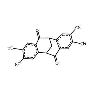 N#Cc1cc2c(cc1C#N)C1CC(C2=O)c2cc(C#N)c(C#N)cc2C1=O